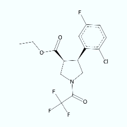 CCOC(=O)[C@@H]1CN(C(=O)C(F)(F)F)C[C@@H]1c1cc(F)ccc1Cl